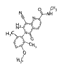 CNC(=O)c1ccc2c(=O)n(-c3c(C)ccc(OC)c3C)c(N)c(C#N)c2n1